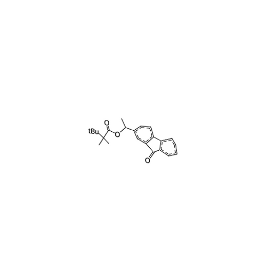 CC(OC(=O)C(C)(C)C(C)(C)C)c1ccc2c(c1)C(=O)c1ccccc1-2